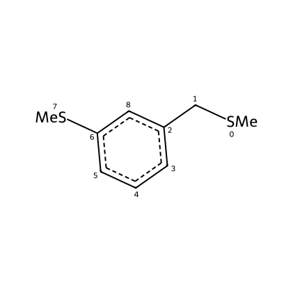 CSCc1cccc(SC)c1